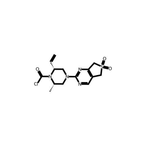 C=C[C@@H]1CN(c2ncc3c(n2)CS(=O)(=O)C3)C[C@H](C)N1C(=O)Cl